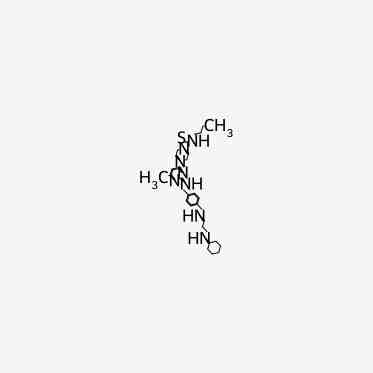 CCCCNC(=S)N1CCN(c2cc(C)nc(NCc3ccc(CNCCCNC4CCCCC4)cc3)n2)CC1